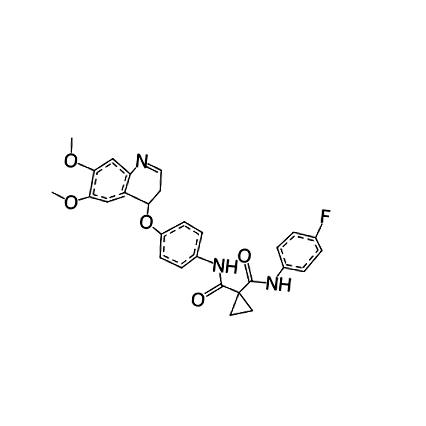 COc1cc2c(cc1OC)C(Oc1ccc(NC(=O)C3(C(=O)Nc4ccc(F)cc4)CC3)cc1)CC=N2